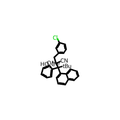 COc1ccccc1C(c1cccc2ccccc12)(C(C)(C)C)C(C#N)(Cc1cccc(Cl)c1)C(=O)O